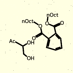 CC(=O)C(O)CO.CCCCCCCCOC(=O)c1ccccc1C(=O)OCCCCCCCC